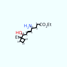 CCOC(=O)CC[C@@H](N)/C=C/C[C@H](O)C1(CC)CCC1